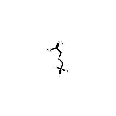 C=C(C)COCP(=O)(O)O